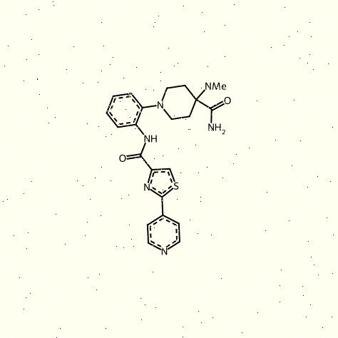 CNC1(C(N)=O)CCN(c2ccccc2NC(=O)c2csc(-c3ccncc3)n2)CC1